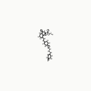 CCOC(=O)c1cc(=O)c2cccc(C=Cc3ccc(OCCCCc4ccc(F)cc4)cc3)c2o1